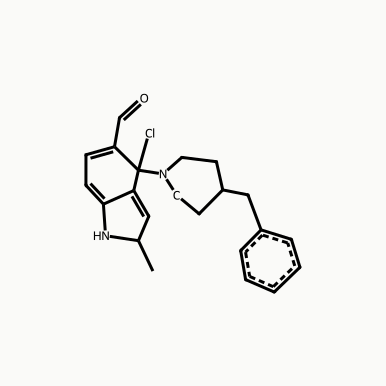 CC1C=C2C(=CC=C(C=O)C2(Cl)N2CCC(Cc3ccccc3)CC2)N1